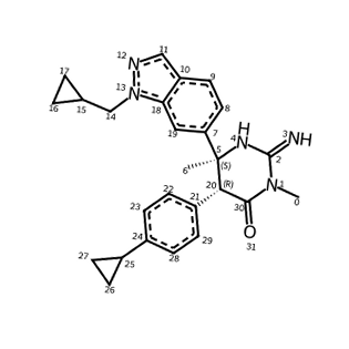 CN1C(=N)N[C@](C)(c2ccc3cnn(CC4CC4)c3c2)[C@@H](c2ccc(C3CC3)cc2)C1=O